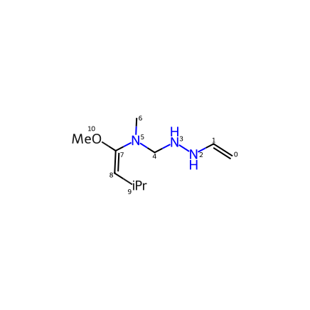 C=CNNCN(C)/C(=C\C(C)C)OC